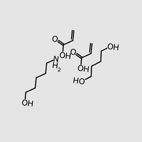 C=CC(=O)O.C=CC(=O)O.NCCCCCO.OCCCCO